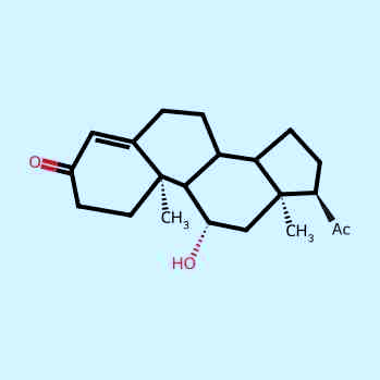 CC(=O)[C@@H]1CCC2C3CCC4=CC(=O)CC[C@]4(C)C3[C@@H](O)C[C@@]21C